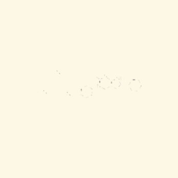 Cc1ccccc1-c1cc2cn(-c3ccc(CN(CCCN)CCCN)c(F)c3)c(=O)nc2[nH]1